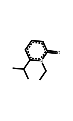 CCn1c(C(C)C)cccc1=O